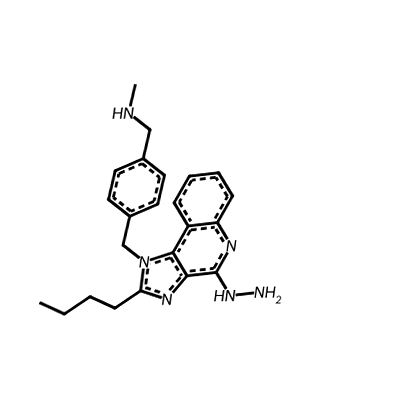 CCCCc1nc2c(NN)nc3ccccc3c2n1Cc1ccc(CNC)cc1